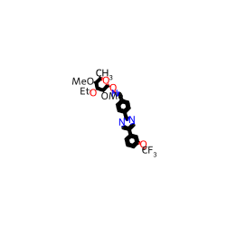 CCO[C@@H]1[C@@H](OC)[C@H](C)O[C@@H](O/N=C/c2ccc(-c3ncc(-c4cccc(OC(F)(F)F)c4)cn3)cc2)[C@@H]1OC